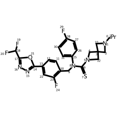 CC(C)N1CC2(CN(C(=S)N(Cc3ccc(-c4nnc(C(F)F)o4)cc3F)c3ccc(F)cc3)C2)C1